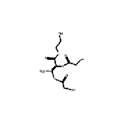 CC(OC(=O)CS)=C(OC(=O)CS)C(=O)OCCO